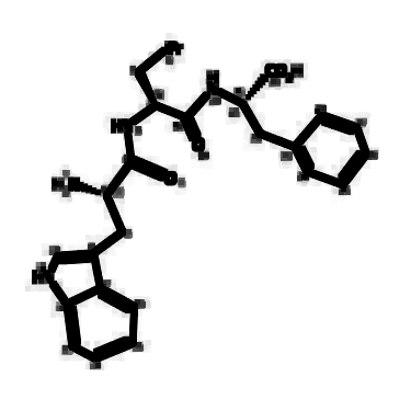 CC(C)C[C@H](NC(=O)[C@@H](N)Cc1c[nH]c2ccccc12)C(=O)N[C@@H](Cc1ccccc1)C(=O)O